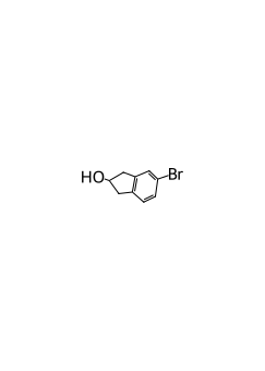 OC1Cc2ccc(Br)cc2C1